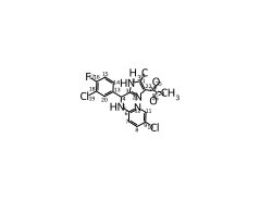 Cc1[nH]c(C(Nc2ccc(Cl)cn2)c2ccc(F)c(Cl)c2)nc1S(C)(=O)=O